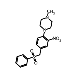 CN1CCN(c2ccc(CS(=O)(=O)c3ccccc3)cc2[N+](=O)[O-])CC1